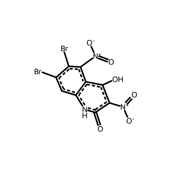 O=c1[nH]c2cc(Br)c(Br)c([N+](=O)[O-])c2c(O)c1[N+](=O)[O-]